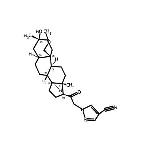 COC[C@]12CC[C@@](C)(O)C[C@@H]1CC[C@H]1[C@@H]3CC[C@H](C(=O)Cn4cc(C#N)cn4)[C@@]3(C)CC[C@@H]12